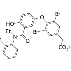 CCN(C(=O)c1cc(Oc2c(Br)cc(CC(=O)O)cc2Br)ccc1O)c1ccccc1F